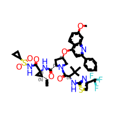 C=C[C@@H]1C[C@]1(NC(=O)[C@@H]1C[C@@H](Oc2cc(-c3ccccc3)nc3cc(OC)ccc23)CN1C(=O)[C@@H](Nc1nc(C(F)(F)F)cs1)C(C)(C)C)C(=O)NS(=O)(=O)C1CC1